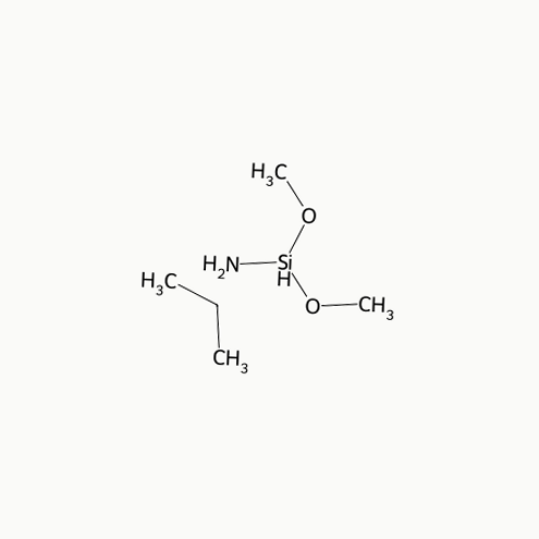 CCC.CO[SiH](N)OC